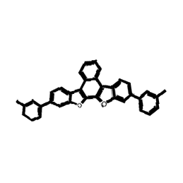 CC1=CC(c2ccc3c(c2)oc2c4oc5cc(-c6cccc(C)c6)ccc5c4c4ccccc4c32)=CCC1